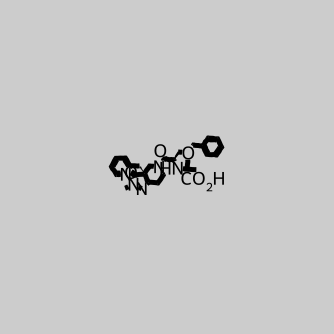 CN1N=C2CCN(C(=O)[C@@H](COCc3ccccc3)NC(C)(C)C(=O)O)C[C@]2(Cc2ccccn2)C1=O